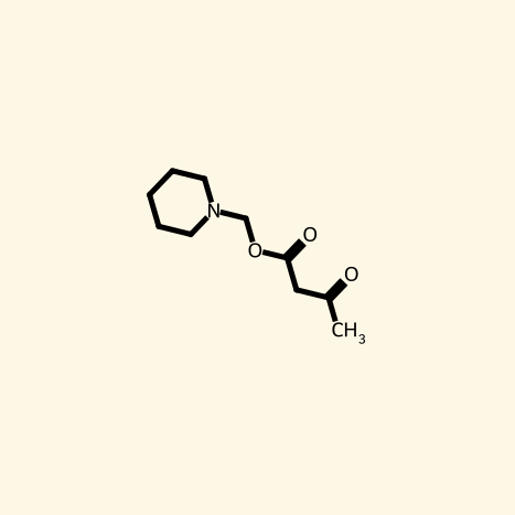 CC(=O)CC(=O)OCN1CCCCC1